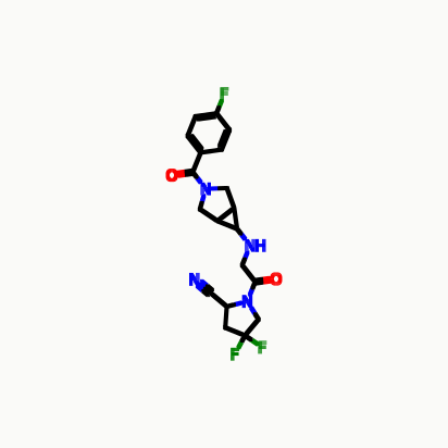 N#CC1CC(F)(F)CN1C(=O)CNC1C2CN(C(=O)c3ccc(F)cc3)CC21